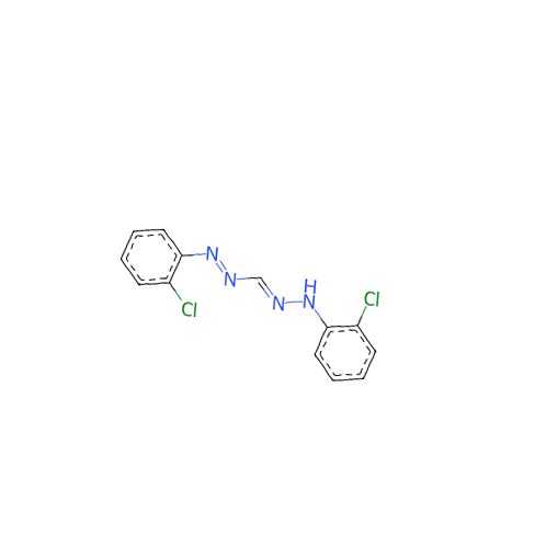 Clc1ccccc1N=NC=NNc1ccccc1Cl